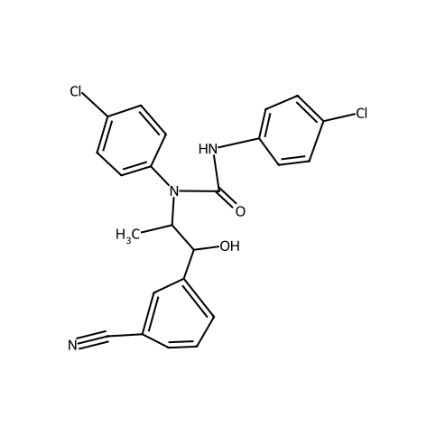 CC(C(O)c1cccc(C#N)c1)N(C(=O)Nc1ccc(Cl)cc1)c1ccc(Cl)cc1